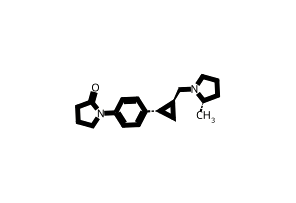 C[C@H]1CCCN1C[C@H]1C[C@@H]1c1ccc(N2CCCC2=O)cc1